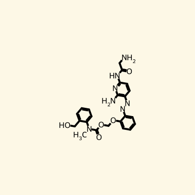 CN(C(=O)OCOc1ccccc1/N=N/c1ccc(NC(=O)CN)nc1N)c1ccccc1CO